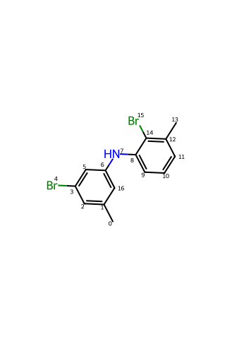 Cc1cc(Br)cc(Nc2cccc(C)c2Br)c1